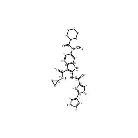 CN(C(=O)C1CCCCC1)c1ccc2c(C(=O)NC3CC3)c(NC(=O)c3csc(-c4cn[nH]c4)n3)[nH]c2c1